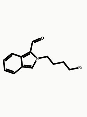 O=Cc1c2ccccc2cn1CCCCBr